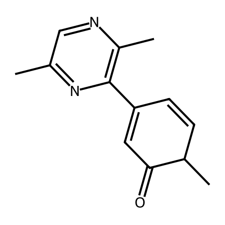 Cc1cnc(C)c(C2=CC(=O)C(C)C=C2)n1